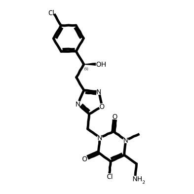 Cn1c(CN)c(Cl)c(=O)n(Cc2nc(C[C@H](O)c3ccc(Cl)cc3)no2)c1=O